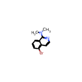 CN(C)c1nccc2c(Br)cccc12